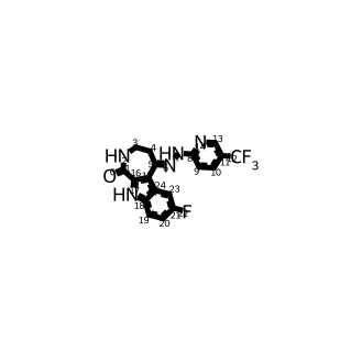 O=C1NCC/C(=N\Nc2ccc(C(F)(F)F)cn2)c2c1[nH]c1ccc(F)cc21